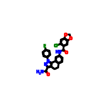 NC(=O)c1nn(-c2ccc(F)cc2)c2c1CCc1ccc(NC(=O)c3cc4c(cc3Cl)OCO4)cc1-2